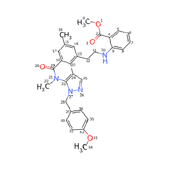 COC(=O)c1ccccc1NCCc1cc(C)cc2c(=O)n(C)c3c(cnn3Cc3ccc(OC)cc3)c12